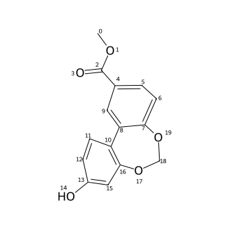 COC(=O)c1ccc2c(c1)-c1ccc(O)cc1OCO2